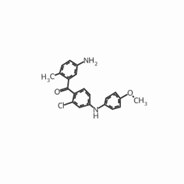 COc1ccc(Nc2ccc(C(=O)c3cc(N)ccc3C)c(Cl)c2)cc1